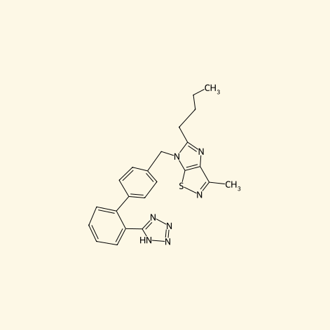 CCCCc1nc2c(C)nsc2n1Cc1ccc(-c2ccccc2-c2nnn[nH]2)cc1